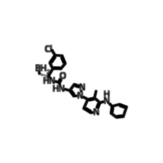 BC[C@@H](NC(=O)Nc1cnn(-c2ccnc(Nc3ccccc3)c2C)c1)c1cccc(Cl)c1